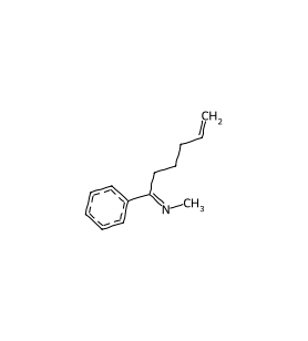 C=CCCC/C(=N\C)c1ccccc1